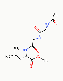 COC(=O)[C@H](CC(C)C)NC(=O)CNC(=O)CNC(C)=O